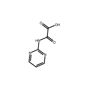 O=C(O)C(=O)Nc1ncccn1